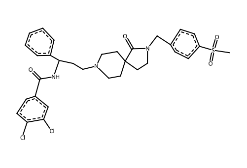 CS(=O)(=O)c1ccc(CN2CCC3(CCN(CCC(NC(=O)c4ccc(Cl)c(Cl)c4)c4ccccc4)CC3)C2=O)cc1